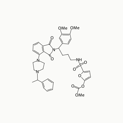 COC(=O)Oc1ccc(S(=O)(=O)NCCCC(c2ccc(OC)c(OC)c2)N2C(=O)c3cccc(N4CCN(C(C)c5ccccc5)CC4)c3C2=O)o1